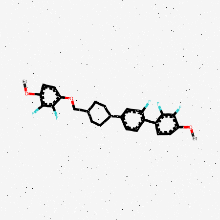 CCOc1ccc(OCC2CCC(c3ccc(-c4ccc(OCC)c(F)c4F)c(F)c3)CC2)c(F)c1F